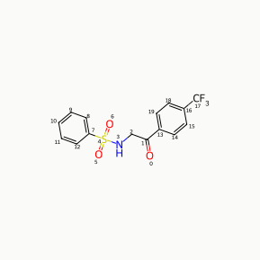 O=C(CNS(=O)(=O)c1ccccc1)c1ccc(C(F)(F)F)cc1